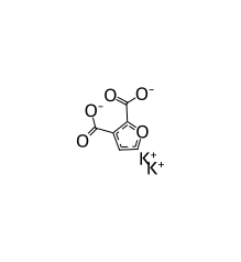 O=C([O-])c1ccoc1C(=O)[O-].[K+].[K+]